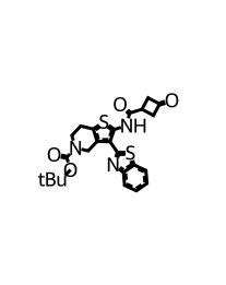 CC(C)(C)OC(=O)N1CCc2sc(NC(=O)C3CC(=O)C3)c(-c3nc4ccccc4s3)c2C1